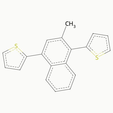 Cc1cc(-c2cccs2)c2ccccc2c1-c1cccs1